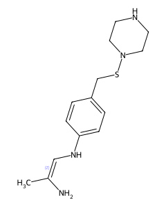 C/C(N)=C/Nc1ccc(CSN2CCNCC2)cc1